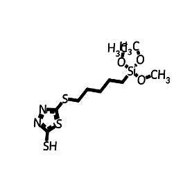 CO[Si](CCCCCSc1nnc(S)s1)(OC)OC